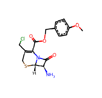 COc1ccc(COC(=O)C2=C(CCl)CS[C@H]3[C@H](N)C(=O)N23)cc1